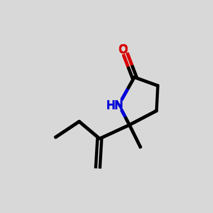 C=C(CC)C1(C)CCC(=O)N1